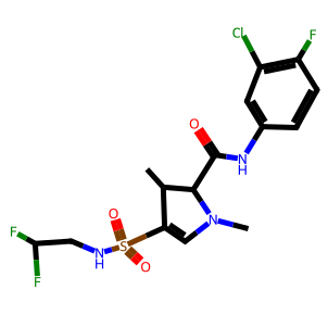 CC1C(S(=O)(=O)NCC(F)F)=CN(C)C1C(=O)Nc1ccc(F)c(Cl)c1